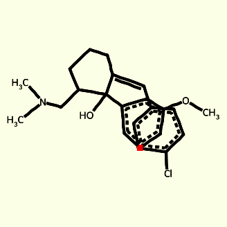 COc1cccc(C2(O)/C(=C\c3ccc(Cl)cc3)CCCC2CN(C)C)c1